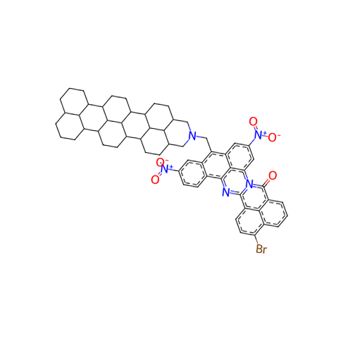 O=c1c2cccc3c(Br)ccc(c32)c2nc3c4ccc([N+](=O)[O-])cc4c(CN4CC5CCC6C7CCC8C9CCCC%10CCCC(C%11CCC(C%12CCC(C4)C5C6%12)C7C8%11)C%109)c4cc([N+](=O)[O-])cc(c43)n12